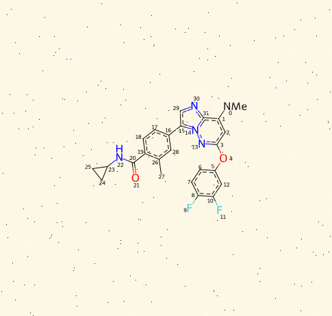 CNc1cc(Oc2ccc(F)c(F)c2)nn2c(-c3ccc(C(=O)NC4CC4)c(C)c3)cnc12